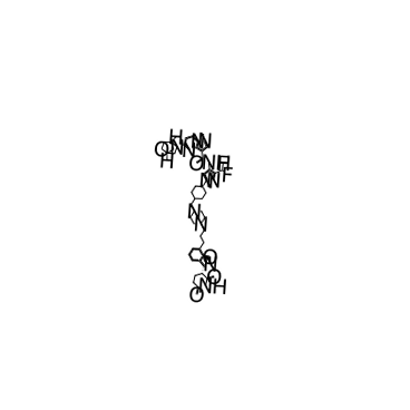 O=C1CC[C@H](c2noc3c(CCCN4CCN(CC5CCC(n6cc(NC(=O)c7cnn8ccc(N9C[C@H]%10C[C@@H]9CO%10)nc78)c(C(F)F)n6)CC5)CC4)cccc23)C(=O)N1